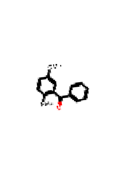 CNc1ccc(OC)cc1C(=O)c1ccccc1